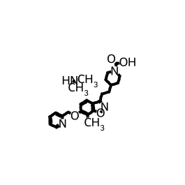 CNC.Cc1c(OCc2ccccn2)ccc2c(CCC3CCN(C(=O)O)CC3)noc12